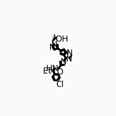 CC[C@H](NC(=O)C1CN(c2ncnn3cc(-c4cnn(C[C@@H](C)O)c4)cc23)C1)c1ccc(Cl)cc1